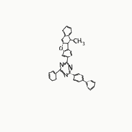 CC1c2ccccc2C=C2Oc3cc(-c4nc(C5=CC=CCC5)nc(-c5ccc(-c6ccccc6)cc5)n4)ccc3C21